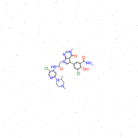 CC1CN(C)CCN1c1cc(NC(=O)Cn2cc(-c3cc(Cl)c(O)c(C(N)=O)c3)c3c(=O)n(C)cnc32)c(Cl)cn1